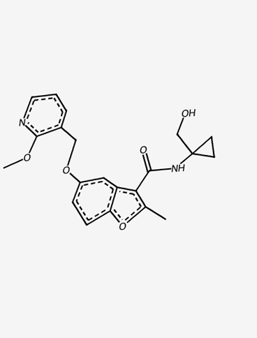 COc1ncccc1COc1ccc2oc(C)c(C(=O)NC3(CO)CC3)c2c1